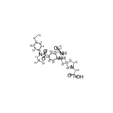 CCc1ccc(N(CC(C)C)S(=O)(=O)c2ccc(NCC3CCN(CC(=O)O)C3)c(S(C)(=N)=O)c2)cc1